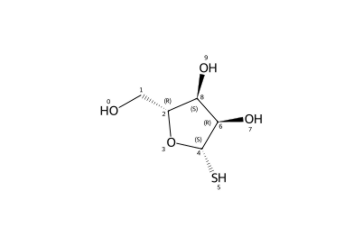 OC[C@H]1O[C@@H](S)[C@H](O)[C@@H]1O